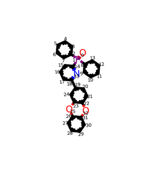 O=P(c1ccccc1)(c1ccccc1)c1cccc(-c2ccc3c(c2)Oc2ccccc2O3)n1